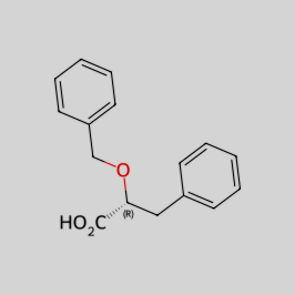 O=C(O)[C@@H](Cc1ccccc1)OCc1ccccc1